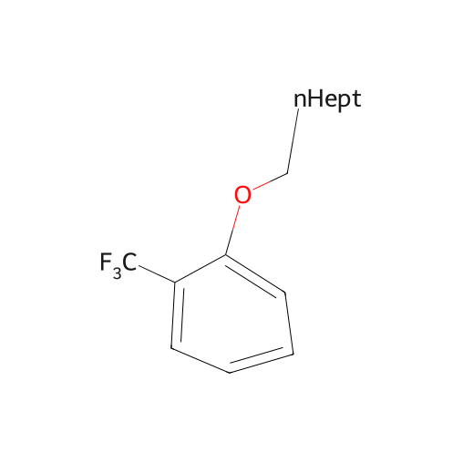 CCCCCCCCOc1ccccc1C(F)(F)F